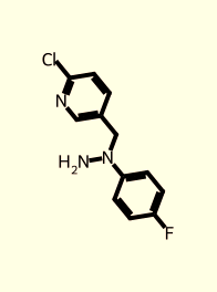 NN(Cc1ccc(Cl)nc1)c1ccc(F)cc1